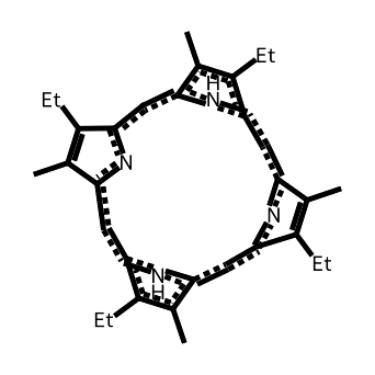 CCC1=C(C)c2cc3[nH]c(cc4nc(cc5[nH]c(cc1n2)c(C)c5CC)C(C)=C4CC)c(C)c3CC